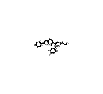 FCCn1cc(-c2ncc3cc(-c4ccccc4)oc3n2)c(-c2ccc(F)cc2)n1